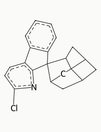 Clc1ccc2c(n1)C1(c3ccccc3-2)C2CC3CC4CC1C34C2